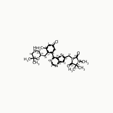 Cc1cc(Cl)cc(-c2ncnc3cc(CN4C(=O)N(C)C(C)(C)C4=O)sc23)c1C[C@@H]1CNCC(C)(C)O1